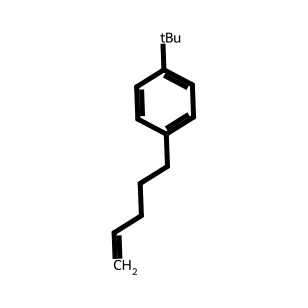 C=CCCCc1ccc(C(C)(C)C)cc1